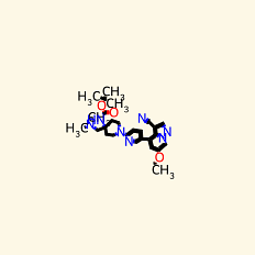 CCOc1cc(-c2ccc(N3CCC(CN(C)C)(NC(=O)OC(C)(C)C)CC3)nc2)c2c(C#N)cnn2c1